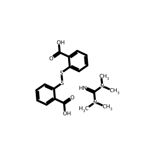 CN(C)C(=N)N(C)C.O=C(O)c1ccccc1SSc1ccccc1C(=O)O